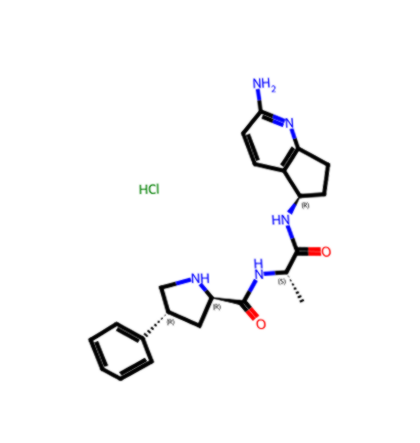 C[C@H](NC(=O)[C@H]1C[C@H](c2ccccc2)CN1)C(=O)N[C@@H]1CCc2nc(N)ccc21.Cl